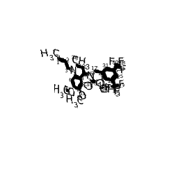 CC=CCN1c2cc(OC)c(OC)cc2C(N(Cc2cc(C(F)(F)F)cc(C(F)(F)F)c2)C(=O)OC)CC1C